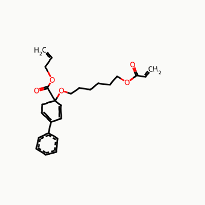 C=CCOC(=O)C1(OCCCCCCOC(=O)C=C)C=CC(c2ccccc2)=CC1